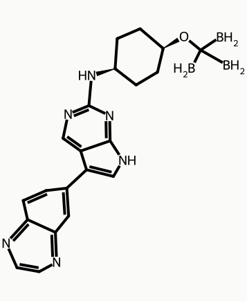 BC(B)(B)O[C@H]1CC[C@@H](Nc2ncc3c(-c4ccc5nccnc5c4)c[nH]c3n2)CC1